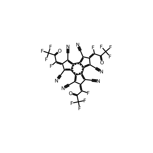 N#CC1=c2c3c(c4c(c2=C(C#N)C1=C(F)C(=O)C(F)(F)F)=C(C#N)C(=C(F)C(=O)C(F)(F)F)C=4C#N)=C(C#N)C(=C(F)C(=O)C(F)(F)F)C=3C#N